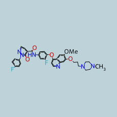 COc1cc2c(Oc3ccc(NC(=O)c4ccnn(-c5ccc(F)cc5)c4=O)cc3F)ccnc2cc1OCCCN1CCN(C)CC1